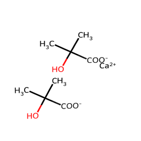 CC(C)(O)C(=O)[O-].CC(C)(O)C(=O)[O-].[Ca+2]